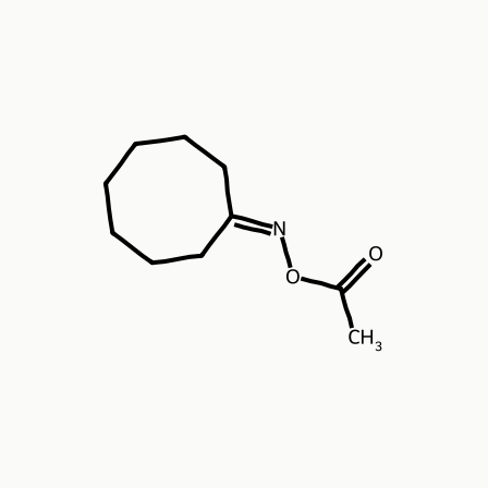 CC(=O)ON=C1CCCCCCC1